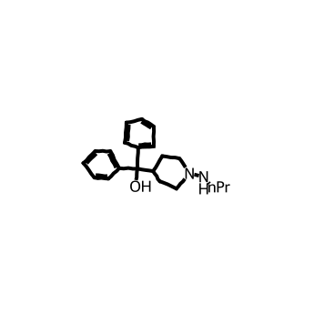 CCCNN1CCC(C(O)(c2ccccc2)c2ccccc2)CC1